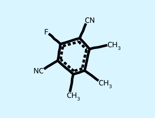 Cc1c(C)c(C#N)c(F)c(C#N)c1C